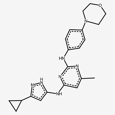 Cc1cc(Nc2cc(C3CC3)n[nH]2)nc(Nc2ccc(N3CCOCC3)cc2)n1